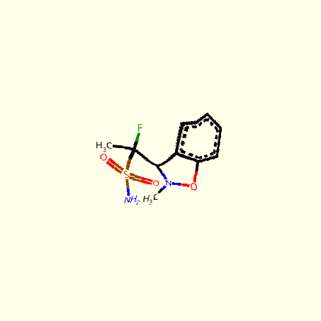 CN1Oc2ccccc2C1C(C)(F)S(N)(=O)=O